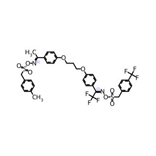 C/C(=N\OS(=O)(=O)Cc1ccc(C)cc1)c1ccc(OCCCOc2ccc(/C(=N/OS(=O)(=O)Cc3ccc(C(F)(F)F)cc3)C(F)(F)F)cc2)cc1